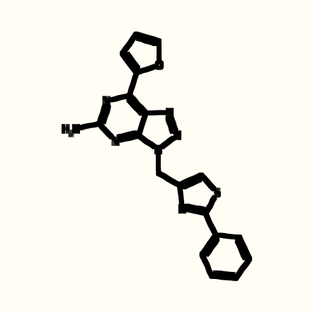 Nc1nc(-c2ccco2)c2nnn(Cc3csc(-c4ccccc4)n3)c2n1